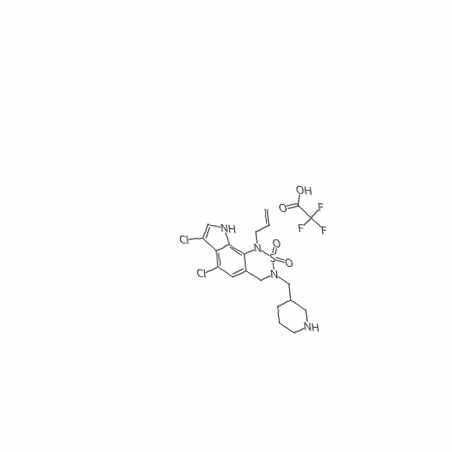 C=CCN1c2c(cc(Cl)c3c(Cl)c[nH]c23)CN(CC2CCCNC2)S1(=O)=O.O=C(O)C(F)(F)F